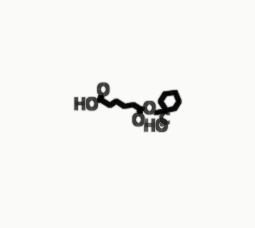 O=C(O)CCCCC(=O)OCC1(CO)CCCCC1